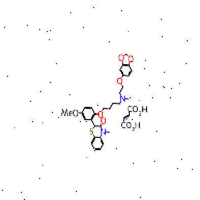 COc1ccc(OCCCCN(C)CCOc2ccc3c(c2)OCO3)c(C2Sc3ccccc3N(C)C2=O)c1.O=C(O)/C=C/C(=O)O